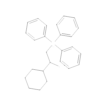 CC(C[PH](c1ccccc1)(c1ccccc1)c1ccccc1)C1CCCCC1